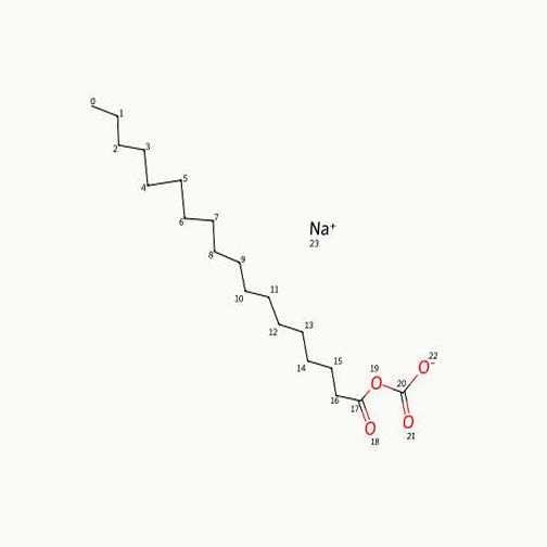 CCCCCCCCCCCCCCCCCC(=O)OC(=O)[O-].[Na+]